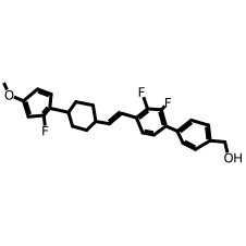 COc1ccc(C2CCC(/C=C/c3ccc(-c4ccc(CO)cc4)c(F)c3F)CC2)c(F)c1